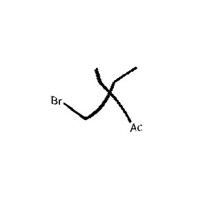 CC(=O)C(C)(C)CBr